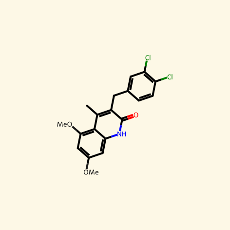 COc1cc(OC)c2c(C)c(Cc3ccc(Cl)c(Cl)c3)c(=O)[nH]c2c1